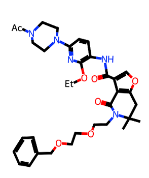 CCOc1nc(N2CCN(C(C)=O)CC2)ccc1NC(=O)c1coc2c1C(=O)N(CCOCCOCc1ccccc1)C(C)(C)C2